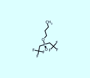 CCCCOP(=O)(CC(F)(F)F)CC(F)(F)F